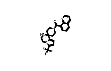 O=C(c1cccc2cccnc12)N1CCC2(CC1)NCCn1c(C(F)(F)F)ccc12